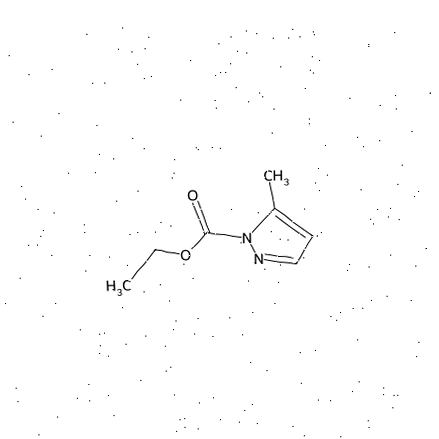 CCOC(=O)n1nc[c]c1C